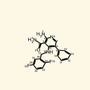 NC(=O)c1c(N)ncc(-c2ccccc2)c1NCc1cc(F)ccc1F